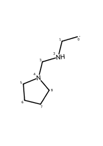 [CH2]CNCN1CCCC1